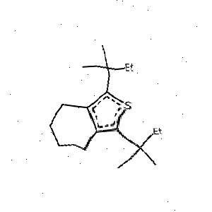 CCC(C)(C)c1sc(C(C)(C)CC)c2c1CCCC2